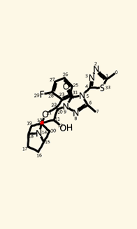 Cc1nnc(-n2c(C)nn(CC(O)CN3C4CCC3CC(OCc3ccccc3F)C4)c2=O)s1